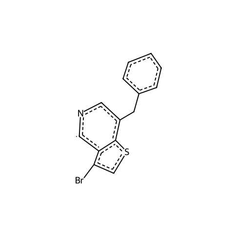 Brc1csc2c(Cc3ccccc3)cn[c]c12